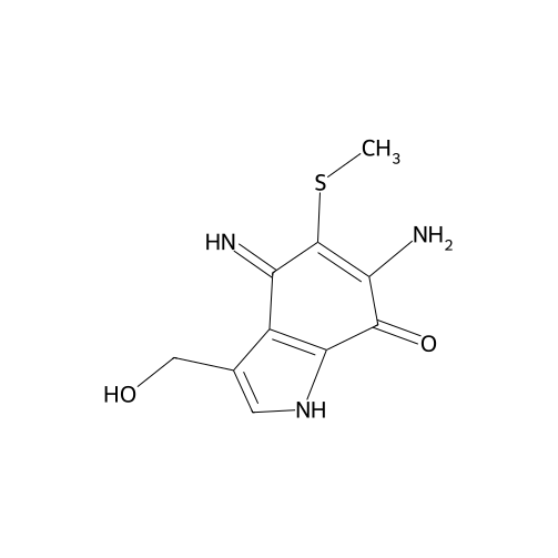 CSC1=C(N)C(=O)c2[nH]cc(CO)c2C1=N